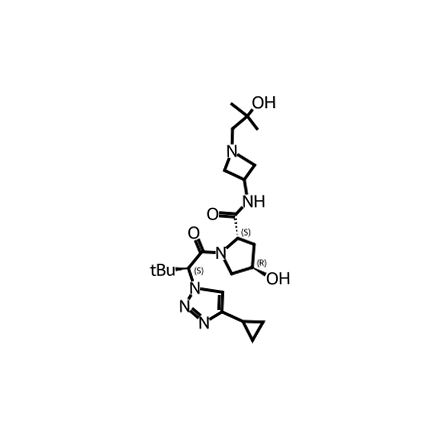 CC(C)(O)CN1CC(NC(=O)[C@@H]2C[C@@H](O)CN2C(=O)[C@@H](n2cc(C3CC3)nn2)C(C)(C)C)C1